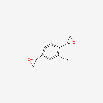 CCc1cc(C2CO2)ccc1C1CO1